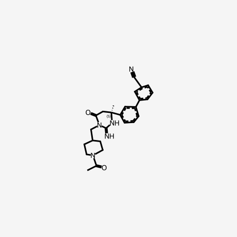 CC(=O)N1CCC(CN2C(=N)N[C@](C)(c3cccc(-c4cccc(C#N)c4)c3)CC2=O)CC1